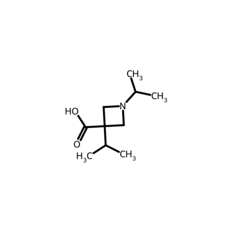 CC(C)N1CC(C(=O)O)(C(C)C)C1